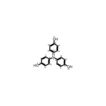 Oc1ccc([SiH](c2ccc(O)cc2)c2ccc(O)cc2)cc1